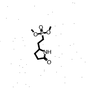 COP(=O)(CCC1CCC(=O)N1)OC